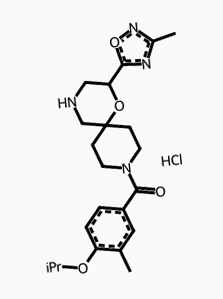 Cc1noc(C2CNCC3(CCN(C(=O)c4ccc(OC(C)C)c(C)c4)CC3)O2)n1.Cl